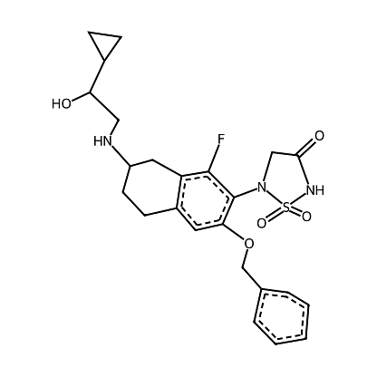 O=C1CN(c2c(OCc3ccccc3)cc3c(c2F)CC(NCC(O)C2CC2)CC3)S(=O)(=O)N1